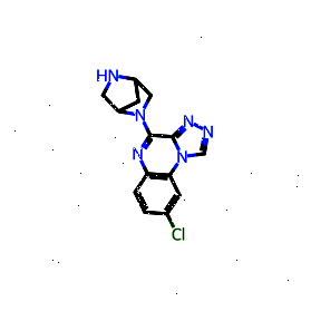 Clc1ccc2nc(N3CC4CC3CN4)c3nncn3c2c1